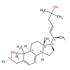 CC[C@H](O)CC1=CC=C2[C@H](CC[C@]3(C)[C@@H]([C@H](C)/C=C/CC(C)(C)O)CC[C@@H]23)C1(C)C